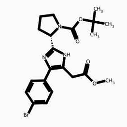 COC(=O)Cc1[nH]c([C@@H]2CCCN2C(=O)OC(C)(C)C)nc1-c1ccc(Br)cc1